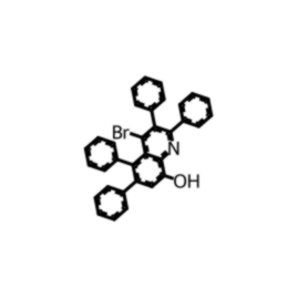 Oc1cc(-c2ccccc2)c(-c2ccccc2)c2c(Br)c(-c3ccccc3)c(-c3ccccc3)nc12